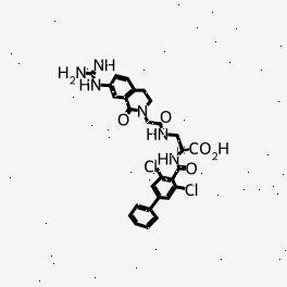 N=C(N)Nc1ccc2c(c1)C(=O)N(CC(=O)NC[C@H](NC(=O)c1c(Cl)cc(-c3ccccc3)cc1Cl)C(=O)O)CC2